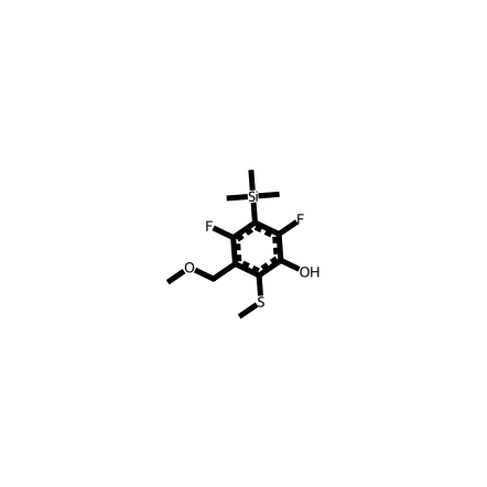 COCc1c(F)c([Si](C)(C)C)c(F)c(O)c1SC